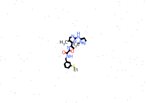 CCSc1cccc(CNC(=O)c2nc(-c3nc(Nc4ccnn4C)ncc3C)co2)c1